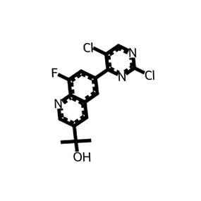 CC(C)(O)c1cnc2c(F)cc(-c3nc(Cl)ncc3Cl)cc2c1